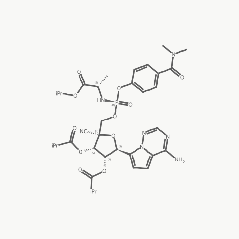 CC(C)OC(=O)[C@H](C)N[P@@](=O)(OC[C@@]1(C#N)O[C@@H](c2ccc3c(N)ncnn23)[C@H](OC(=O)C(C)C)[C@@H]1OC(=O)C(C)C)Oc1ccc(C(=O)N(C)C)cc1